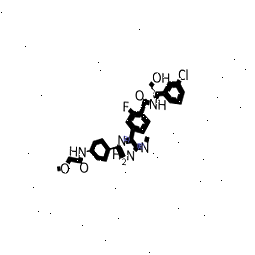 C=C(/N=C(\C(N)=N/C)c1ccc(C(=O)N[C@H](CO)c2cccc(Cl)c2)c(F)c1)[C@H]1CC[C@H](NC(=O)COC)CC1